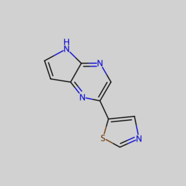 c1cc2nc(-c3cncs3)cnc2[nH]1